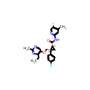 CCc1nc(C)ncc1OC[C@@]1(c2ccc(F)cc2)C[C@H]1C(=O)Nc1cc(C)c(F)cn1